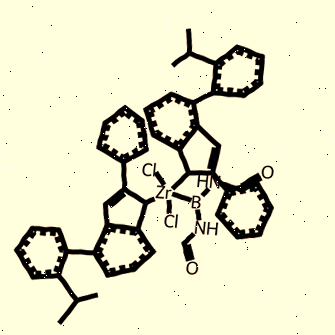 CC(C)c1ccccc1-c1cccc2c1C=C(c1ccccc1)[CH]2[Zr]([Cl])([Cl])([B](NC=O)NC=O)[CH]1C(c2ccccc2)=Cc2c(-c3ccccc3C(C)C)cccc21